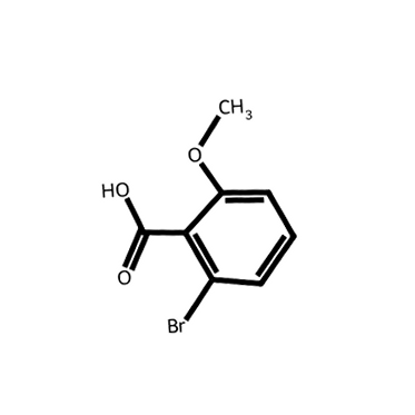 COc1cccc(Br)c1C(=O)O